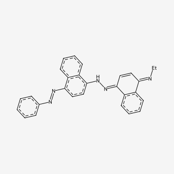 CCN=C1C=CC(=NNc2ccc(N=Nc3ccccc3)c3ccccc23)c2ccccc21